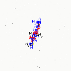 C=C1NC2CSC(CCCCC(=O)NCCNC(=O)C(CCCCNC(=O)OC(C)c3cc(OC)c(OCCCC(=O)NCCOCCOC(=O)NCc4ccc(COc5nc(N)nc6[nH]cnc56)cc4)cc3[N+](=O)[O-])NC(=O)c3ccc(C(=O)c4ccccc4)cc3)C2N1